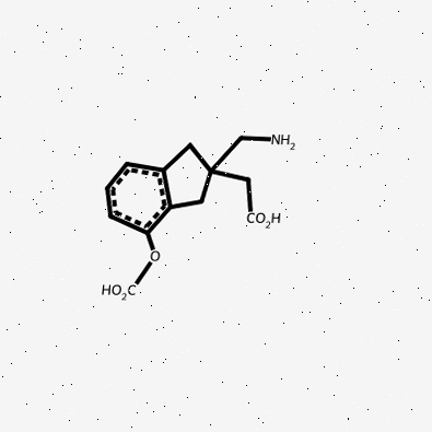 NCC1(CC(=O)O)Cc2cccc(OC(=O)O)c2C1